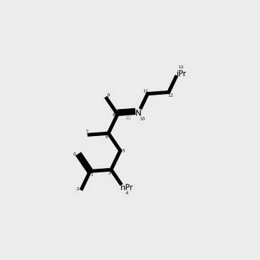 C=C(C)C(CCC)CC(C)/C(C)=N/CCC(C)C